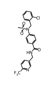 CS(=O)(=O)N(Cc1ccccc1Cl)c1ccc(C(=O)NCc2ccc(C(F)(F)F)nc2)cc1